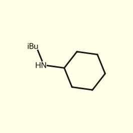 CCC(C)NC1CCCCC1